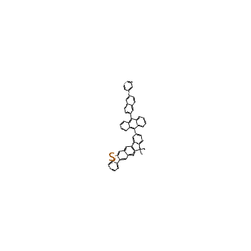 CC1(C)c2ccc(-c3c4ccccc4c(-c4ccc5cc(-c6ccccc6)ccc5c4)c4ccccc34)cc2-c2cc3cc4sc5ccccc5c4cc3cc21